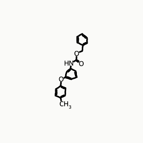 Cc1ccc(Oc2cccc(NC(=O)OCc3ccccc3)c2)cc1